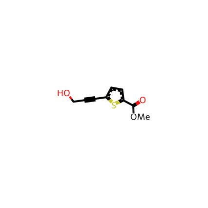 COC(=O)c1ccc(C#CCO)s1